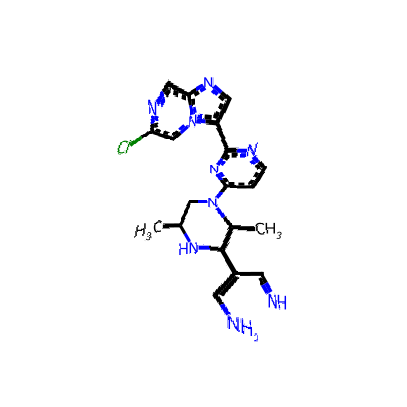 CC1CN(c2ccnc(-c3cnc4cnc(Cl)cn34)n2)C(C)C(/C(C=N)=C/N)N1